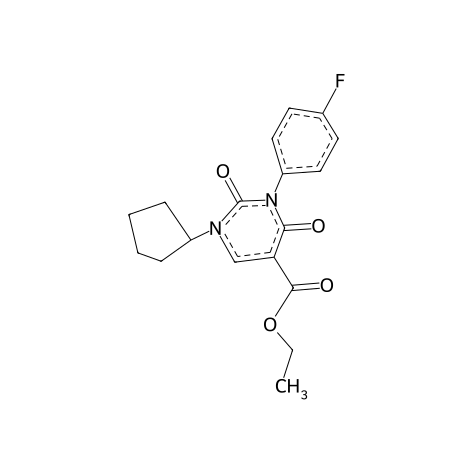 CCOC(=O)c1cn(C2CCCC2)c(=O)n(-c2ccc(F)cc2)c1=O